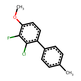 COc1ccc(-c2ccc(C)cc2)c(Cl)c1F